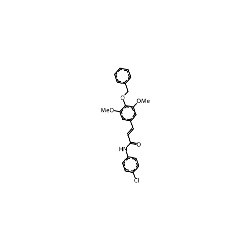 COc1cc(C=CC(=O)Nc2ccc(Cl)cc2)cc(OC)c1OCc1ccccc1